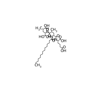 CCCCCCCCCCCCCCC(=O)NC(CC(C)C(=O)NC(CC(C)C(=O)O)C(=O)O)C(=O)NC(CCCC(=O)O)C(=O)O